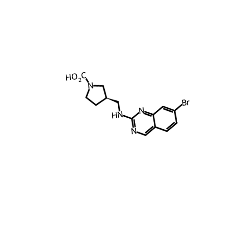 O=C(O)N1CC[C@H](CNc2ncc3ccc(Br)cc3n2)C1